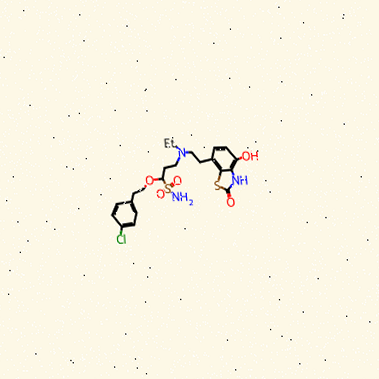 CCN(CCc1ccc(O)c2[nH]c(=O)sc12)CCC(OCCc1ccc(Cl)cc1)S(N)(=O)=O